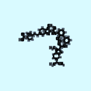 CC(C)N1CCc2c(nc(C(=O)Nc3cccc(-c4cccc(NC(=O)c5nc6c(n5C)CCN(CCC57CCC(C(=O)O)(CC5)C7)C6)c4Cl)c3Cl)n2C)C1